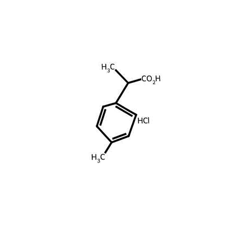 Cc1ccc(C(C)C(=O)O)cc1.Cl